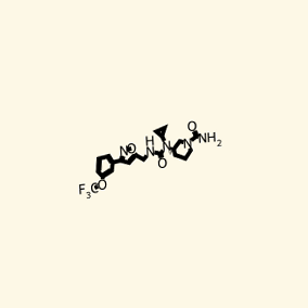 NC(=O)N1CCC[C@@H](N(C(=O)NCc2cc(-c3cccc(OC(F)(F)F)c3)no2)C2CC2)C1